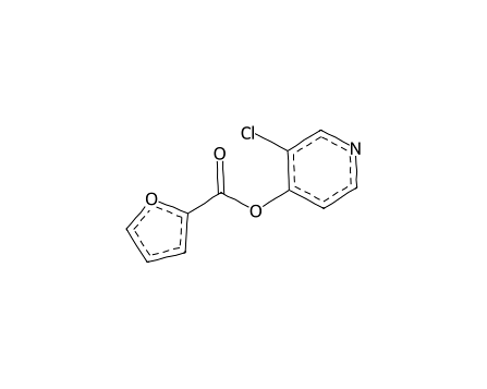 O=C(Oc1ccncc1Cl)c1ccco1